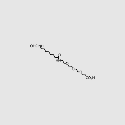 O=CNCCCCCCCC(=O)NCCOCCOCCOCCC(=O)O